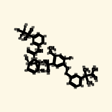 COc1cc(F)c(OCc2cccc(C(C)(C)C(=O)O)c2)cc1C(=O)N[C@H]1[C@@H](C(=O)Nc2cccc(S(=O)(=O)C(F)(F)F)c2)[C@@H]2C=C[C@H]1C2